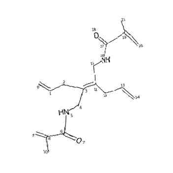 C=CC/C(CNC(=O)C(=C)C)=C(/CC=C)CNC(=O)C(=C)C